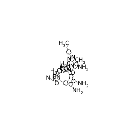 CCCc1ccc(-c2nc(C)c(C(=O)N[C@@H](CCN)C(=O)N(C)[C@@H]3C(=O)N[C@@H](C)C(=O)N[C@H](C(=O)NCC#N)Cc4ccc(OCCN)c(c4)-c4cc3ccc4OCCN)c(C)n2)cc1